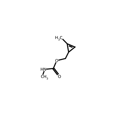 CNC(=O)OCC1C=C1C